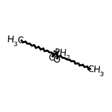 CCCCCCCCCCCCCCCC(=O)N(P)C(=O)CCCCCCCCCCCCCCC